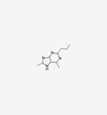 CCCc1nc(C)c2[nH]c(C)nc2n1